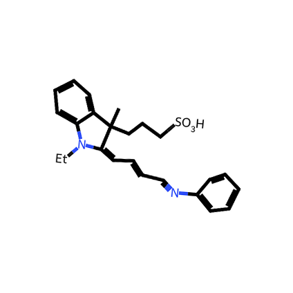 CCN1/C(=C/C=C/C=N/c2ccccc2)C(C)(CCCS(=O)(=O)O)c2ccccc21